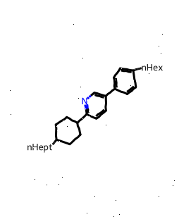 CCCCCCCC1CCC(c2ccc(-c3ccc(CCCCCC)cc3)cn2)CC1